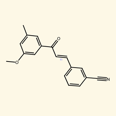 COc1cc(C)cc(C(=O)/C=C/c2cccc(C#N)c2)c1